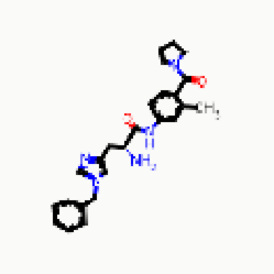 Cc1cc(NC(=O)[C@H](N)Cc2cn(Cc3ccccc3)cn2)ccc1C(=O)N1CCCC1